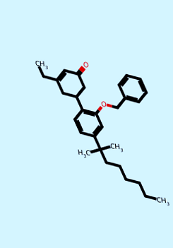 CCCCCCC(C)(C)c1ccc(C2CC(=O)C=C(CC)C2)c(OCc2ccccc2)c1